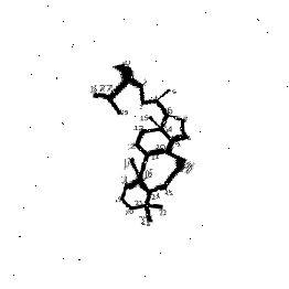 C=C(CC[C@@H](C)[C@H]1CC=C2C3=C(CC[C@@]21C)[C@@]1(C)CCCC(C)(C)C1CC3)C(C)C